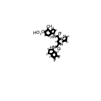 Cc1c(C(=O)O)ccc2c1CC[C@@H]2NC(=O)c1cc(C(=O)N[C@H]2CCc3cc(F)c(F)cc32)nc2ccnn12